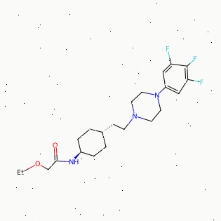 CCOCC(=O)N[C@H]1CC[C@H](CCN2CCN(c3cc(F)c(F)c(F)c3)CC2)CC1